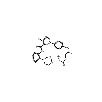 CC(CNC(=O)OC(C)(C)C)Oc1ccc(-c2cnc(N)c(C(=O)Nc3cnccc3N3CCOCC3)n2)cc1